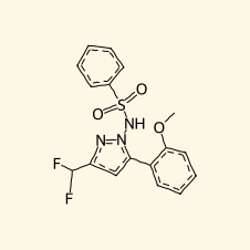 COc1ccccc1-c1cc(C(F)F)nn1NS(=O)(=O)c1ccccc1